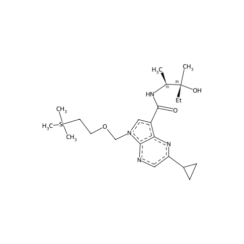 CC[C@@](C)(O)[C@H](C)NC(=O)c1cn(COCC[Si](C)(C)C)c2ncc(C3CC3)nc12